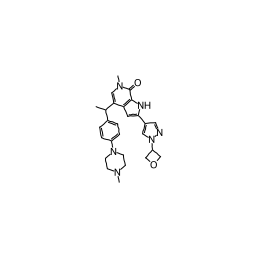 CC(c1ccc(N2CCN(C)CC2)cc1)c1cn(C)c(=O)c2[nH]c(-c3cnn(C4COC4)c3)cc12